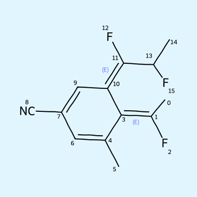 C/C(F)=c1/c(C)cc(C#N)c/c1=C(\F)C(C)F